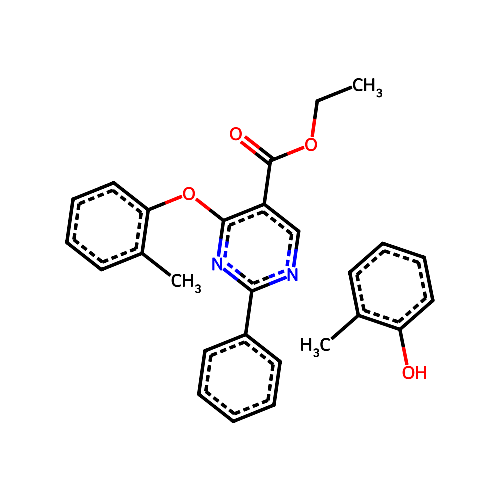 CCOC(=O)c1cnc(-c2ccccc2)nc1Oc1ccccc1C.Cc1ccccc1O